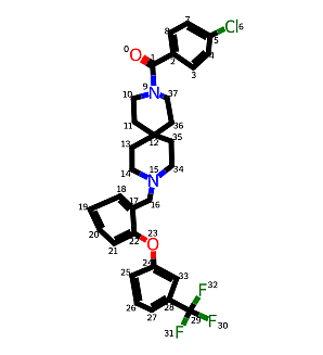 O=C(c1ccc(Cl)cc1)N1CCC2(CCN(Cc3ccccc3Oc3cccc(C(F)(F)F)c3)CC2)CC1